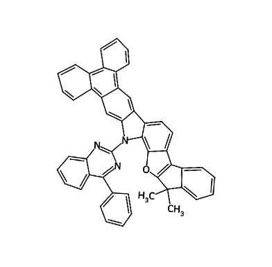 CC1(C)c2ccccc2-c2c1oc1c2ccc2c3cc4c5ccccc5c5ccccc5c4cc3n(-c3nc(-c4ccccc4)c4ccccc4n3)c21